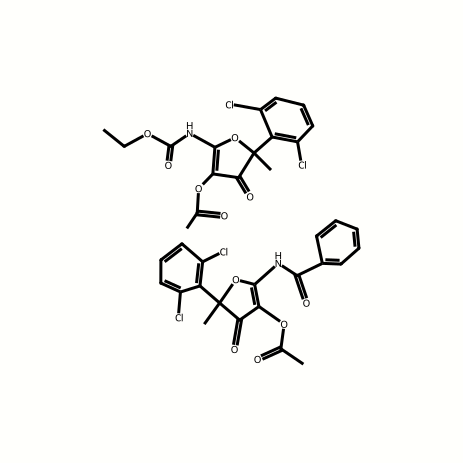 CC(=O)OC1=C(NC(=O)c2ccccc2)OC(C)(c2c(Cl)cccc2Cl)C1=O.CCOC(=O)NC1=C(OC(C)=O)C(=O)C(C)(c2c(Cl)cccc2Cl)O1